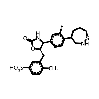 Cc1ccc(S(=O)(=O)O)cc1C[C@H]1OC(=O)NC1c1ccc(C2CCCSNC2)c(F)c1